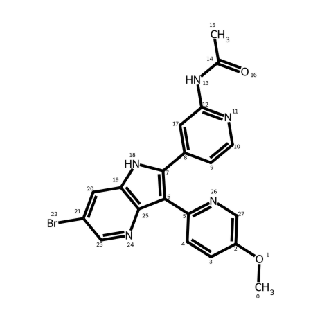 COc1ccc(-c2c(-c3ccnc(NC(C)=O)c3)[nH]c3cc(Br)cnc23)nc1